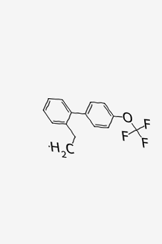 [CH2]Cc1ccccc1-c1ccc(OC(F)(F)F)cc1